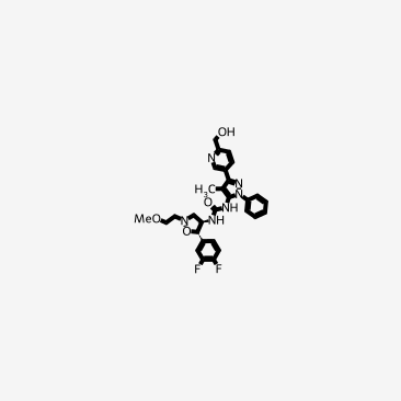 COCCN1C[C@@H](NC(=O)Nc2c(C)c(-c3ccc(CO)nc3)nn2-c2ccccc2)[C@H](c2ccc(F)c(F)c2)O1